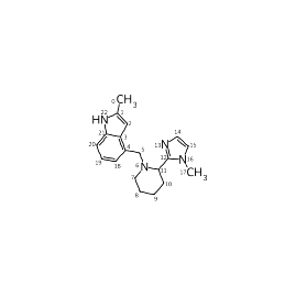 Cc1cc2c(CN3CCCCC3c3nccn3C)cccc2[nH]1